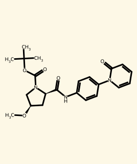 CO[C@@H]1C[C@H](C(=O)Nc2ccc(-n3ccccc3=O)cc2)N(C(=O)OC(C)(C)C)C1